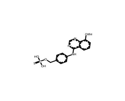 COc1cccc2c(Nc3ccc(COP(O)(O)=S)cc3)ncnc12